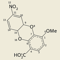 COc1ccc(C(=O)O)c2c1OC1C=C([N+](=O)[O-])C=CC1O2